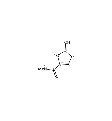 CNC(=O)C1=CCC(O)O1